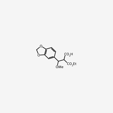 CCOC(=O)C(C(=O)O)C(OC)c1ccc2c(c1)OCO2